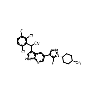 N#CC(c1c(Cl)ccc(F)c1Cl)c1c[nH]c2ncc(-c3cnn([C@H]4CC[C@H](O)CC4)c3F)cc12